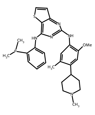 COc1cc(C2CCN(C)CC2)c(C)cc1Nc1nc(Nc2ccccc2P(C)C)c2sccc2n1